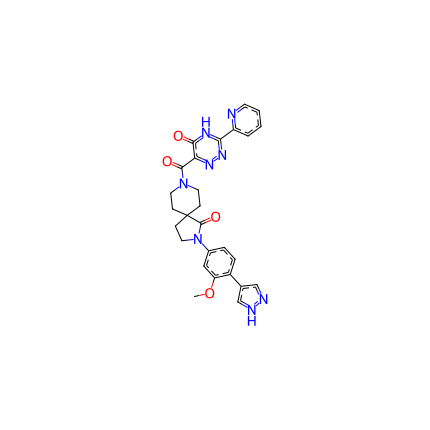 COc1cc(N2CCC3(CCN(C(=O)c4nnc(-c5ccccn5)[nH]c4=O)CC3)C2=O)ccc1-c1cn[nH]c1